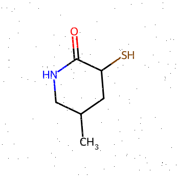 CC1CNC(=O)C(S)C1